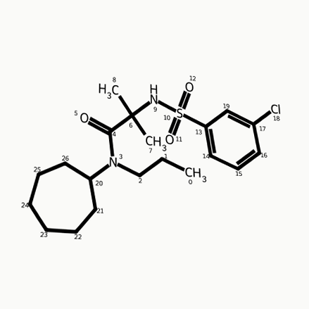 CCCN(C(=O)C(C)(C)NS(=O)(=O)c1cccc(Cl)c1)C1CCCCCC1